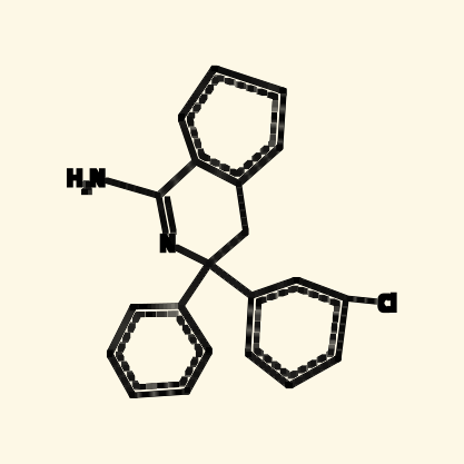 NC1=NC(c2ccccc2)(c2cccc(Cl)c2)Cc2ccccc21